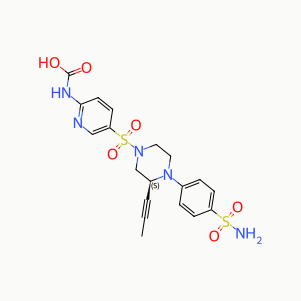 CC#C[C@H]1CN(S(=O)(=O)c2ccc(NC(=O)O)nc2)CCN1c1ccc(S(N)(=O)=O)cc1